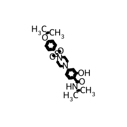 CC(C)NC(=O)c1ccc(N2CCN(S(=O)(=O)c3ccc(OC(C)C)cc3)CC2)cc1O